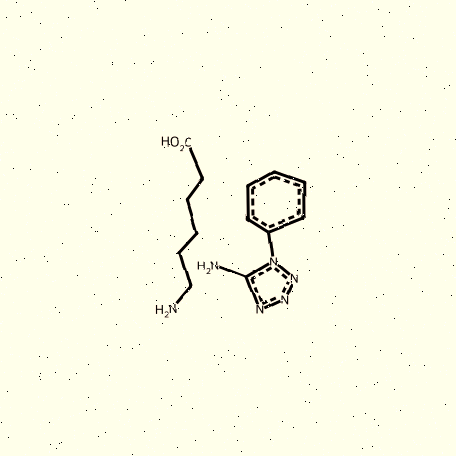 NCCCCCC(=O)O.Nc1nnnn1-c1ccccc1